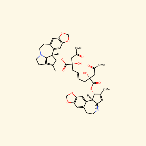 COC(=O)C[C@](O)(C/C=C/C[C@@](O)(CC(=O)OC)C(=O)O[C@@H]1C(OC)=C[C@]23CCCN2CCc2cc4c(cc2[C@H]13)OCO4)C(=O)O[C@@H]1C(C)=C[C@]23CCCN2CCc2cc4c(cc2[C@H]13)OCO4